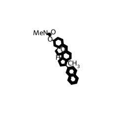 CNC(=O)O[C@H]1CCC2=CC3=CC[C@]4(C)[C@@H](c5ccc6ccccc6c5)CC[C@H]4C34CC[C@]2(C1)O4